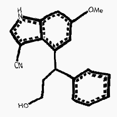 COc1cc(C(CCO)c2ccccc2)c2c(C#N)c[nH]c2c1